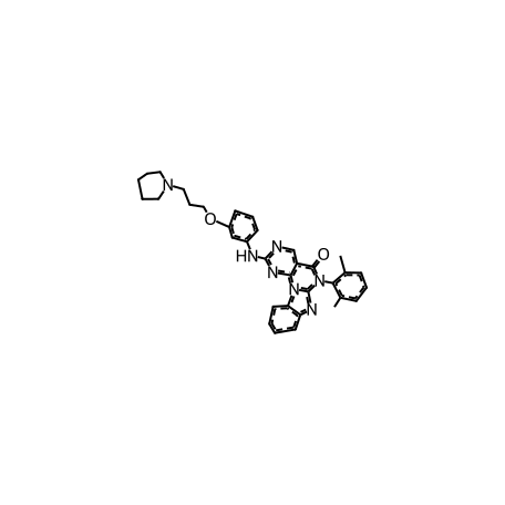 Cc1cccc(C)c1-n1c(=O)c2cnc(Nc3cccc(OCCCN4CCCCC4)c3)nc2n2c3ccccc3nc12